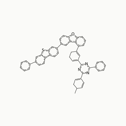 CC1C=CC(c2nc(C3=CCCC(c4cccc5oc6ccc(-c7ccc8c(c7)sc7cc(-c9ccccc9)ccc78)cc6c45)=C3)nc(-c3ccccc3)n2)=CC1